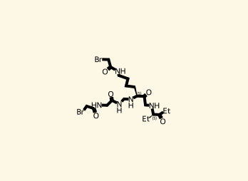 CCC(=O)[C@H](CC)NCC(=O)[C@H](CCCCNC(=O)CBr)NCNC(=O)CNC(=O)CBr